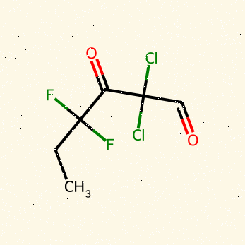 CCC(F)(F)C(=O)C(Cl)(Cl)C=O